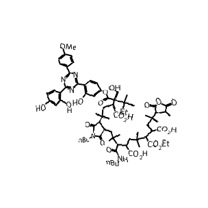 CCCCNC(=O)C(C(CC(C)(C)C(C(=O)OCC)C(CC(C)(C)C1C(=O)OC(=O)C1C)C(=O)O)C(=O)O)C(C)(C)CC1C(=O)N(CCCC)C(=O)C1C(C)(C)CC(C(=O)O)C(CO)(C(=O)Oc1ccc(-c2nc(-c3ccc(OC)cc3)nc(-c3ccc(O)cc3O)n2)c(O)c1)C(C)(C)CC